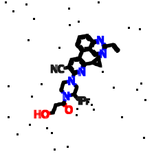 C=Cc1ncc2c(-c3cc(C#N)c(N4CCN(C(=O)CCO)C(C(C)C)C4)nc3C3CC3)cccc2n1